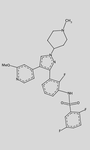 COc1cc(-c2cn(C3CCN(C)CC3)nc2-c2cccc(NS(=O)(=O)c3cc(F)ccc3F)c2F)ccn1